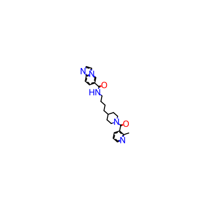 Cc1ncccc1C(=O)N1CCC(CCCCNC(=O)c2ccc3nccn3c2)CC1